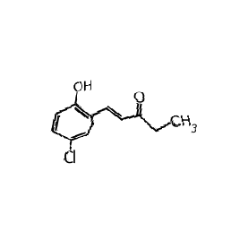 CCC(=O)C=Cc1cc(Cl)ccc1O